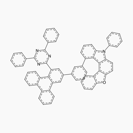 c1ccc(-c2nc(-c3ccccc3)nc(-c3cc(-c4cccc(-c5cccc6c5c5c7c(ccc5n6-c5ccccc5)oc5ccccc57)c4)cc4c5ccccc5c5ccccc5c34)n2)cc1